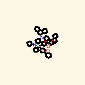 c1ccc(N2c3ccccc3[Si](c3ccc4c(c3)oc3ccccc34)(c3ccc4c(c3)oc3ccccc34)c3cc(N(c4ccc(-c5cccc6ccccc56)cc4)c4cc5ccccc5c5ccccc45)ccc32)cc1